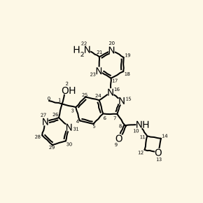 CC(O)(c1ccc2c(C(=O)NC3COC3)nn(-c3ccnc(N)n3)c2c1)c1ncccn1